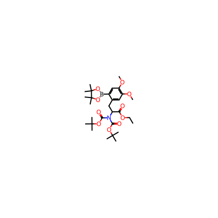 CCOC(=O)C(Cc1cc(OC)c(OC)cc1B1OC(C)(C)C(C)(C)O1)N(C(=O)OC(C)(C)C)C(=O)OC(C)(C)C